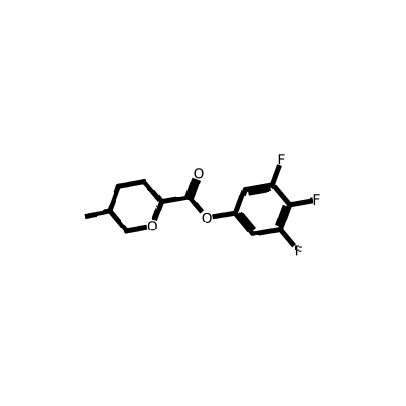 CC1CCC(C(=O)Oc2cc(F)c(F)c(F)c2)OC1